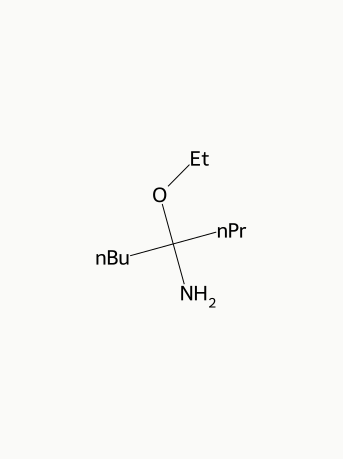 CCCCC(N)(CCC)OCC